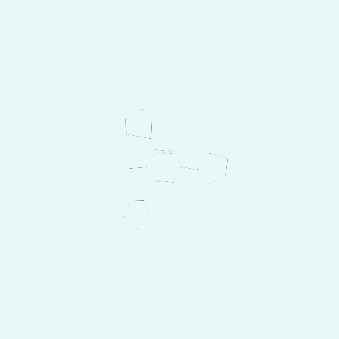 Cc1c(C2CCCC2)cc(C2CCCC2)c(O)c1C1CCCC1